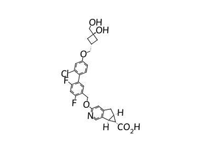 O=C(O)[C@H]1[C@@H]2Cc3cc(OCc4cc(-c5ccc(OC[C@H]6C[C@@](O)(CO)C6)cc5Cl)c(F)cc4F)ncc3[C@@H]21